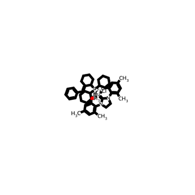 Cc1cc(C)c(N2CCN(c3c(C)cc(C)cc3C)[C]2=[Ru]([Cl])([Cl])[PH](C2CCCCC2)(C2CCCCC2)C2CCCCC2=Cc2ccccc2)c(C)c1